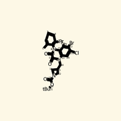 Cc1cccc(C(C)C)c1-n1c(=O)c(=O)n(CC2CN(C(=O)OC(C)(C)C)C2)c2cc(Cl)c(Br)c(F)c21